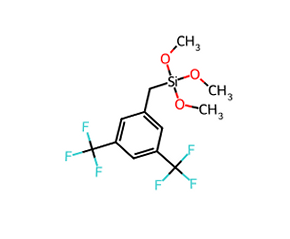 CO[Si](Cc1cc(C(F)(F)F)cc(C(F)(F)F)c1)(OC)OC